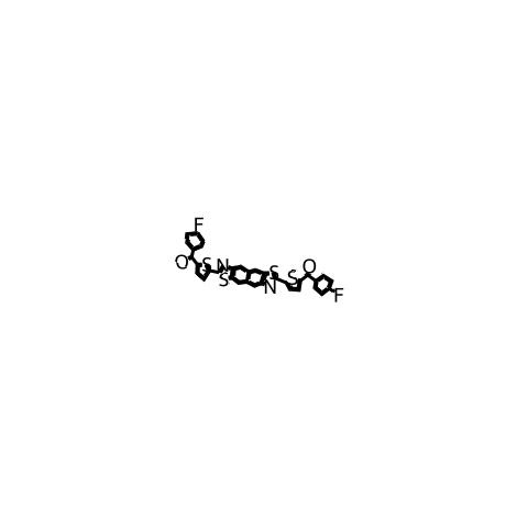 O=C(c1ccc(F)cc1)c1ccc(-c2nc3cc4cc5sc(-c6ccc(C(=O)c7ccc(F)cc7)s6)nc5cc4cc3s2)s1